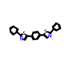 c1ccc(-c2ncc(-c3ccc(-c4cnc(-c5ccccc5)s4)cc3)s2)cc1